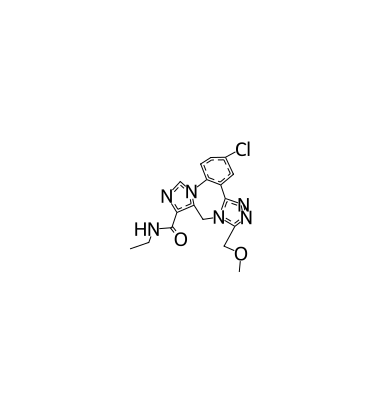 CCNC(=O)c1ncn2c1Cn1c(COC)nnc1-c1cc(Cl)ccc1-2